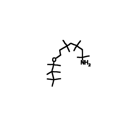 CC(C)(N)CC(C)(C)CC(C)(C)CCOC(C)(C)C(C)(C)C(C)(C)C